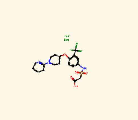 Cl.Cl.O=C(O)CS(=O)(=O)Nc1ccc(OC2CCN(C3=NCCCC3)CC2)c(C(F)(F)F)c1